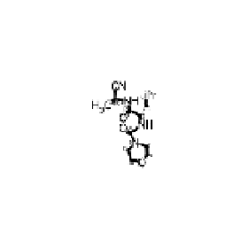 CC(C)C[C@H](NC(=O)N1CCOCC1)C(=O)N[C@@H](C)C#N